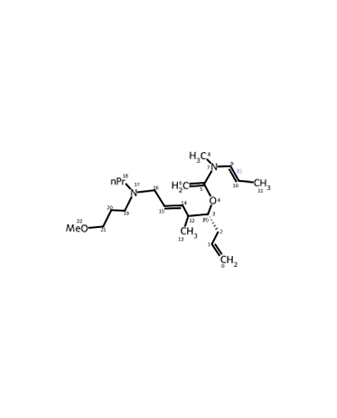 C=CC[C@@H](OC(=C)N(C)/C=C/C)C(C)C=CCN(CCC)CCCOC